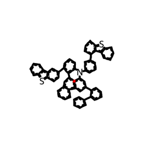 c1ccc(-c2ccccc2-c2cccc(N(c3cccc(-c4cccc5sc6ccccc6c45)c3)c3cccc(-c4ccc5sc6ccccc6c5c4)c3-c3ccc4ccccc4c3)c2)cc1